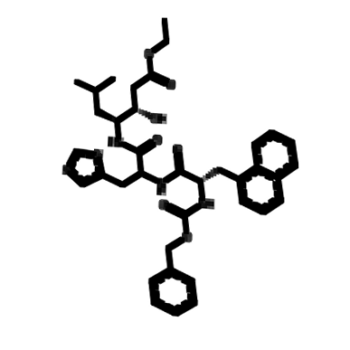 CCOC(=O)C[C@H](O)[C@H](CC(C)C)NC(=O)C(Cc1cscn1)NC(=O)[C@H](Cc1cccc2ccccc12)NC(=O)OCc1ccccc1